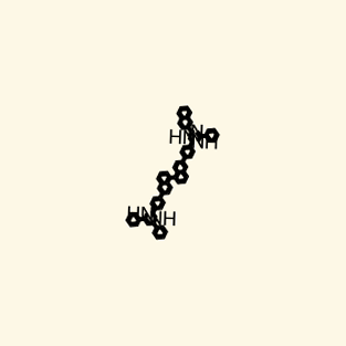 C1=C(c2ccccc2)NC(c2ccc(-c3ccc4c(-c5cccc6cc(-c7ccc(C8NC(c9ccccc9)=NC(c9ccc%10ccccc%10c9)N8)cc7)ccc56)cccc4c3)cc2)NC1c1ccccc1